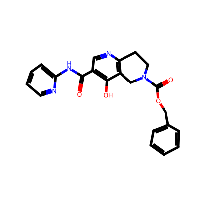 O=C(Nc1ccccn1)c1cnc2c(c1O)CN(C(=O)OCc1ccccc1)CC2